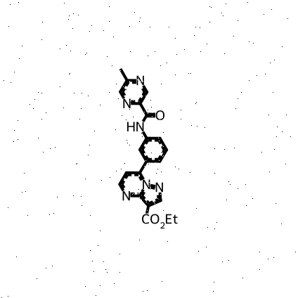 CCOC(=O)c1cnn2c(-c3cccc(NC(=O)c4cnc(C)cn4)c3)ccnc12